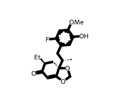 CC[C@H]1C[C@]2([C@@H](C)Cc3cc(O)c(OC)cc3F)OCOC2=CC1=O